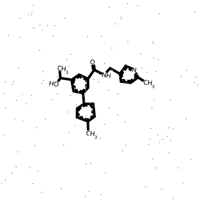 Cc1ccc(-c2cc(C(=O)NCc3ccc(C)nc3)cc(C(C)O)c2)cc1